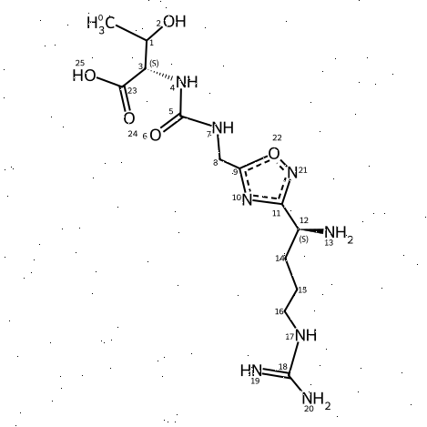 CC(O)[C@H](NC(=O)NCc1nc([C@@H](N)CCCNC(=N)N)no1)C(=O)O